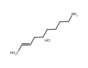 Cl.NCCCCCCC=CC(=O)O